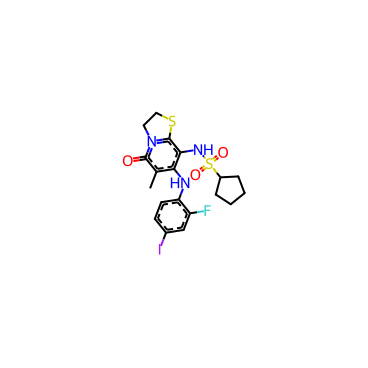 Cc1c(Nc2ccc(I)cc2F)c(NS(=O)(=O)C2CCCC2)c2n(c1=O)CCS2